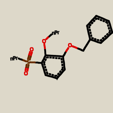 CCCOc1c(OCc2ccccc2)c[c]cc1S(=O)(=O)CCC